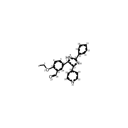 CCOc1ccc(-c2[nH]c(-c3ccccc3)nc2-c2ccncc2)cc1C=O